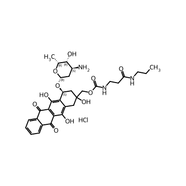 CCCNC(=O)CCNC(=O)OCC1(O)Cc2c(O)c3c(c(O)c2[C@@H](O[C@H]2C[C@H](N)[C@@H](O)[C@@H](C)O2)C1)C(=O)c1ccccc1C3=O.Cl